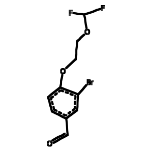 O=Cc1ccc(OCCOC(F)F)c(Br)c1